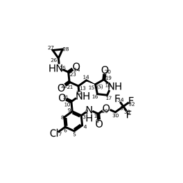 O=C(Nc1ccc(Cl)cc1C(=O)NC(C[C@@H]1CCNC1=O)C(=O)C(=O)NC1CC1)OCC(F)(F)F